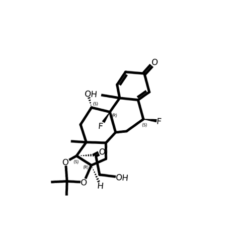 CC1(C)O[C@@H]2CC3C4C[C@H](F)C5=CC(=O)C=CC5(C)[C@@]4(F)[C@@H](O)CC3(C)[C@]2(C(=O)CO)O1